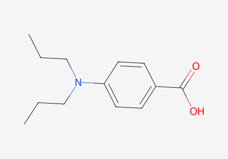 CCCN(CCC)c1ccc(C(=O)O)cc1